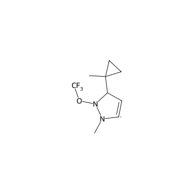 CN1[C]=CC(C2(C)CC2)N1OC(F)(F)F